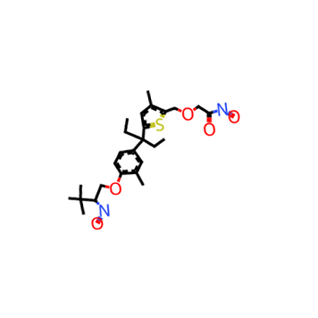 CCC(CC)(c1ccc(OCC(N=O)C(C)(C)C)c(C)c1)c1cc(C)c(COCC(=O)N=O)s1